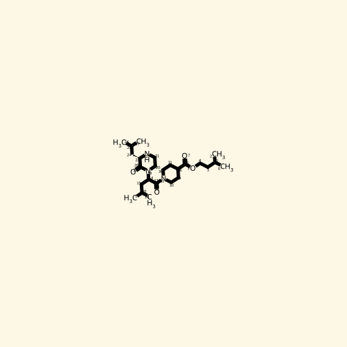 CC(C)CCOC(=O)C1CCN(C(=O)C(CC(C)C)N2CCN[C@@H](CC(C)C)C2=O)CC1